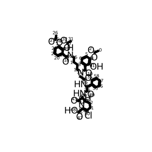 CC(=O)Oc1cccc(C(=O)N(CCCCNC(=O)c2cccc(OC(C)=O)c2OC(C)=O)CC(=O)N[C@H](C(=O)N[C@@H]2C(=O)N3C(C(=O)O)=C(Cl)CC[C@H]23)c2ccccc2)c1O